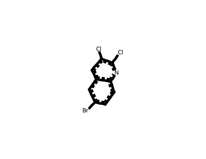 Clc1cc2cc(Br)ccc2nc1Cl